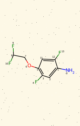 Nc1cc(F)c(OCC(F)F)cc1F